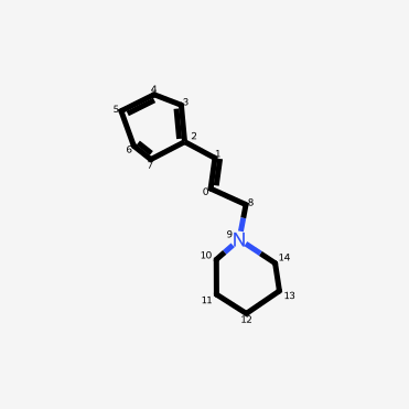 C(=Cc1ccccc1)CN1CCCCC1